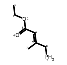 CCOC(=O)/C=C(\C)CP